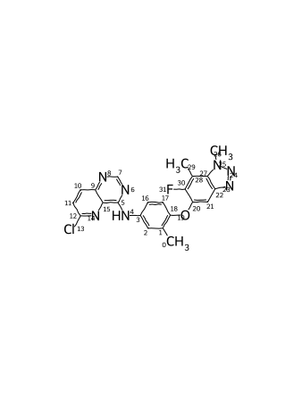 Cc1cc(Nc2ncnc3ccc(Cl)nc23)ccc1Oc1cc2nnn(C)c2c(C)c1F